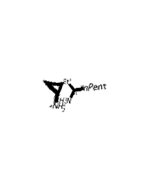 CCCCCC(N)CC.NC1CC1